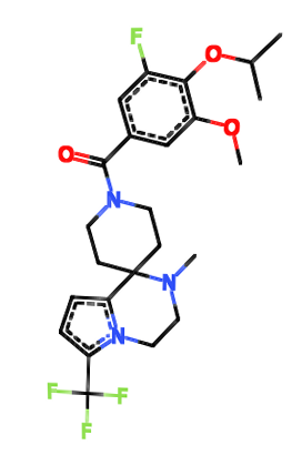 COc1cc(C(=O)N2CCC3(CC2)c2ccc(C(F)(F)F)n2CCN3C)cc(F)c1OC(C)C